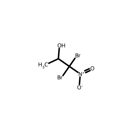 CC(O)C(Br)(Br)[N+](=O)[O-]